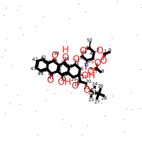 CC(=O)O[C@@H]1[C@@H](OC(C)=O)[C@@H](I)[C@H](O[C@H]2C[C@@](O)(C(=O)CO[Si](C)(C)C(C)(C)C)Cc3c(O)c4c(c(O)c32)C(=O)c2ccccc2C4=O)O[C@H]1C